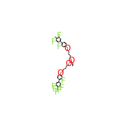 C=CC(OCCCCCOc1ccc(-c2cc(F)c(C)c(F)c2)c(F)c1)OCCCCCOc1ccc(-c2cc(F)c(C(F)(F)F)c(F)c2)c(F)c1